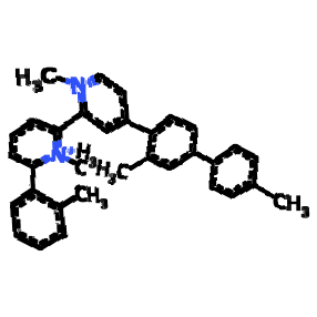 Cc1ccc(-c2ccc(-c3cc[n+](C)c(-c4cccc(-c5ccccc5C)[n+]4C)c3)c(C)c2)cc1